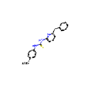 CSc1ccc(NC(=S)Nc2cccc(Cc3ccccc3)n2)cc1